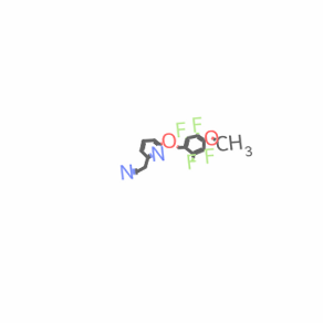 COc1c(F)c(F)c(COc2cccc(CC#N)n2)c(F)c1F